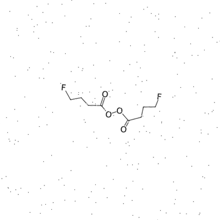 O=C(CCCF)OOC(=O)CCCF